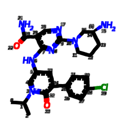 CC(C)n1cc(Nc2nc(N3CCC[C@H](N)C3)ncc2C(N)=O)cc(-c2ccc(Cl)cc2)c1=O